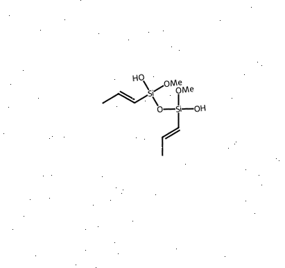 CC=C[Si](O)(OC)O[Si](O)(C=CC)OC